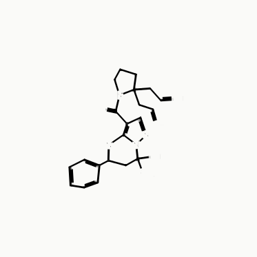 C=CCC1(CC=C)CCCN1C(=O)c1cnn2c1NC(c1ccccc1)CC2(C)C